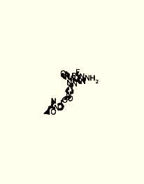 N#C/C(=C/C1CC1)C(=O)N1CCC[C@@H](COCC(=O)N2CCN(c3nc(-c4cnc(N)nc4C(F)F)nc(N4CCOCC4)n3)CC2)C1